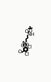 COCc1cc(S(=O)(=O)N(C)CCCCNC(=O)OC(C)(C)C)c(Cl)cc1Cl